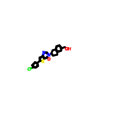 O=c1c2sc(-c3ccc(Cl)cc3)cc2ncn1C1CCc2cc(CO)ccc2C1